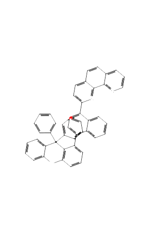 c1ccc(C2(c3ccccc3)c3ccccc3Oc3cccc(-c4ccc(-c5ccc6ccc7cccnc7c6n5)c5ccccc45)c32)cc1